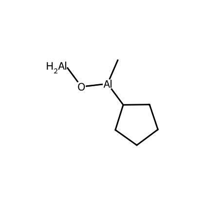 [CH3][Al]([O][AlH2])[CH]1CCCC1